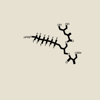 C=C(COC)C(=O)OCC(CCC(F)(F)C(F)(F)C(F)(F)C(F)(F)C(F)(F)C(F)(F)CCCCCCC)COC(=O)C(=C)CC(CO)CO